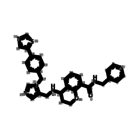 O=C(NCc1ccncc1)c1cccc2c1OCCC2NCc1cncn1Cc1ccc(-c2cncs2)cc1